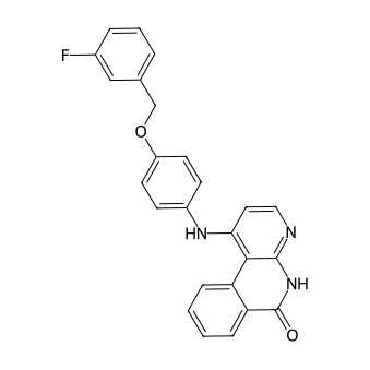 O=c1[nH]c2nccc(Nc3ccc(OCc4cccc(F)c4)cc3)c2c2ccccc12